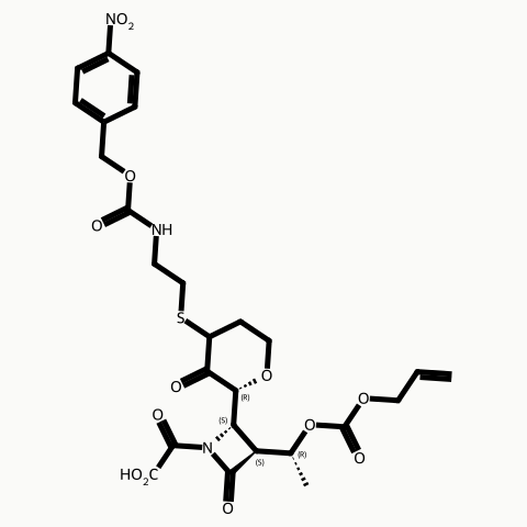 C=CCOC(=O)O[C@H](C)[C@H]1C(=O)N(C(=O)C(=O)O)[C@@H]1[C@H]1OCCC(SCCNC(=O)OCc2ccc([N+](=O)[O-])cc2)C1=O